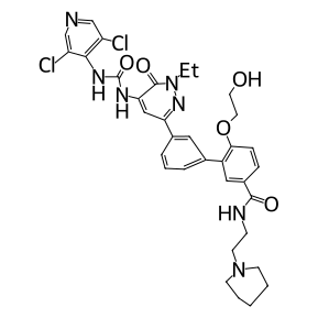 CCn1nc(-c2cccc(-c3cc(C(=O)NCCN4CCCCC4)ccc3OCCO)c2)cc(NC(=O)Nc2c(Cl)cncc2Cl)c1=O